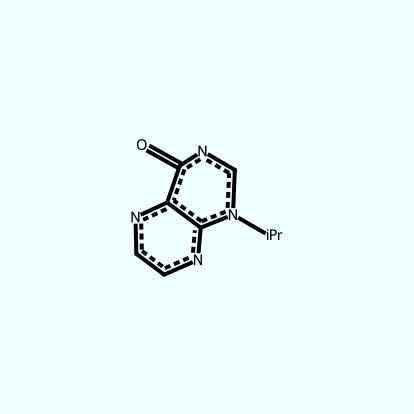 CC(C)n1cnc(=O)c2nccnc21